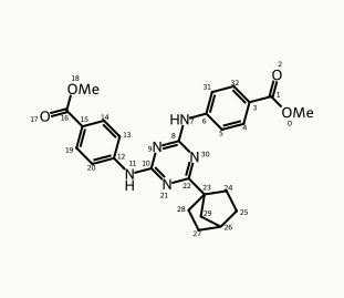 COC(=O)c1ccc(Nc2nc(Nc3ccc(C(=O)OC)cc3)nc(C34CCC(CC3)C4)n2)cc1